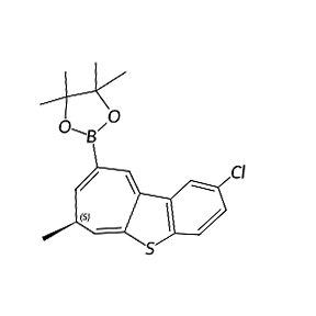 C[C@H]1C=C(B2OC(C)(C)C(C)(C)O2)C=c2c(sc3ccc(Cl)cc23)=C1